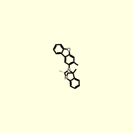 Cc1cc2oc3ccccc3c2cc1N1[C@@H](C)N2CC1(C)c1ccccc12